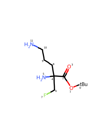 CC(C)(C)OC(=O)C(N)(CF)CCCN